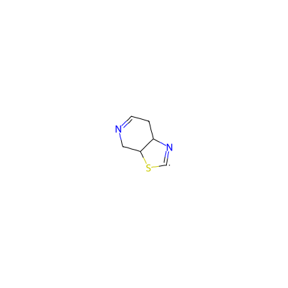 [C]1=NC2CC=NCC2S1